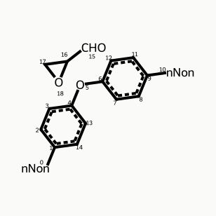 CCCCCCCCCc1ccc(Oc2ccc(CCCCCCCCC)cc2)cc1.O=CC1CO1